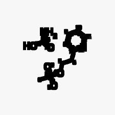 CS(=O)(=O)OCCc1ccccn1.NC(=O)O